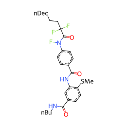 CCCCCCCCCCCCC(F)(F)C(=O)N(F)c1ccc(C(=O)Nc2cc(C(=O)NCCCC)ccc2SC)cc1